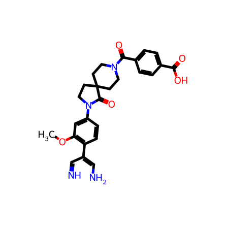 COc1cc(N2CCC3(CCN(C(=O)c4ccc(C(=O)O)cc4)CC3)C2=O)ccc1/C(C=N)=C/N